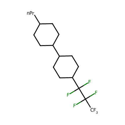 CCCC1CCC(C2CCC(C(F)(F)C(F)(F)C(F)(F)F)CC2)CC1